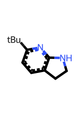 CC(C)(C)c1ccc2c(n1)NCC2